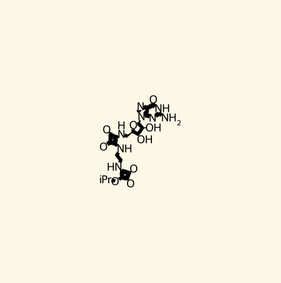 CC(C)Oc1c(NCCNc2c(NC[C@H]3O[C@@H](n4cnc5c(=O)[nH]c(N)nc54)[C@H](O)[C@@H]3O)c(=O)c2=O)c(=O)c1=O